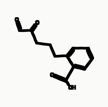 O=CC(=O)CCCc1ccccc1C(=O)O